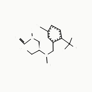 C=CN(CC)C[C@H](COC)N(C)Cc1cc(F)ccc1C(C)(C)O